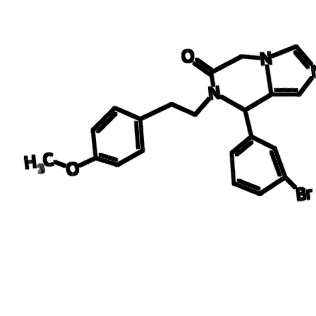 COc1ccc(CCN2C(=O)Cn3cncc3C2c2cccc(Br)c2)cc1